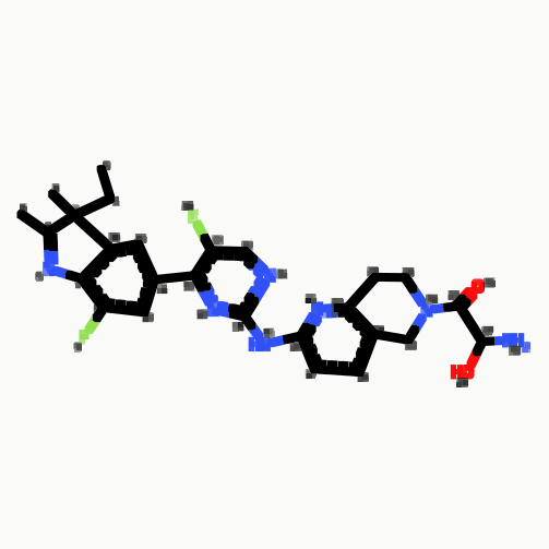 CCC1(C)C(C)=Nc2c(F)cc(-c3nc(Nc4ccc5c(n4)CCN(C(=O)C(N)O)C5)ncc3F)cc21